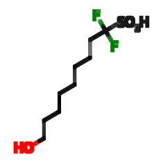 O=S(=O)(O)C(F)(F)CCCCCCCCO